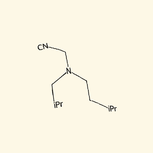 [C-]#[N+]CN(CCC(C)C)CC(C)C